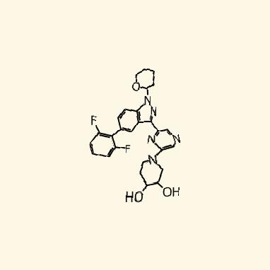 OC1CCN(c2cncc(-c3nn(C4CCCCO4)c4ccc(-c5c(F)cccc5F)cc34)n2)CC1O